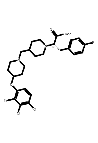 CCc1c(OC2CCN(CC3CCN([C@@H](Cc4ccc(F)cc4)C(=O)OC)CC3)CC2)ccc(Cl)c1Cl